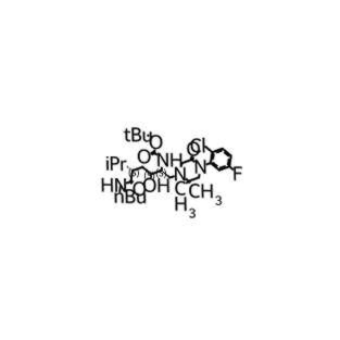 CCCCNC(=O)[C@@H](C[C@H](O)[C@H](CN1CC(=O)N(c2cc(F)ccc2Cl)CC1(C)C)NC(=O)OC(C)(C)C)C(C)C